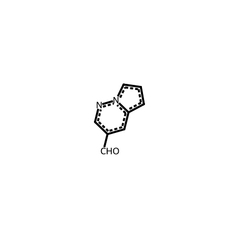 O=Cc1cnn2cccc2c1